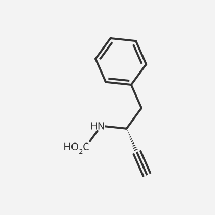 C#C[C@@H](Cc1ccccc1)NC(=O)O